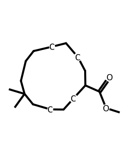 COC(=O)C1CCCCCCCC(C)(C)CCCC1